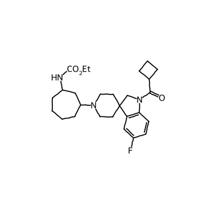 CCOC(=O)NC1CCCCC(N2CCC3(CC2)CN(C(=O)C2CCC2)c2ccc(F)cc23)C1